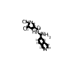 NC(NC(=O)c1cnc(Cl)c(Cl)c1)c1ccc2cnccc2c1